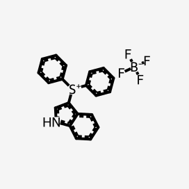 F[B-](F)(F)F.c1ccc([S+](c2ccccc2)c2c[nH]c3ccccc23)cc1